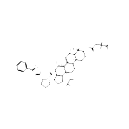 CC(C)(CC(=O)O[C@H]1CC[C@]2(C)[C@H]3CC[C@@H]4[C@H]5[C@H](C(C)(O)CO)CC[C@]5(C(=O)N5CCC[C@@H]5c5nc(-c6ccccc6)no5)CC[C@@]4(C)[C@]3(C)CC[C@H]2C1(C)C)C(=O)O